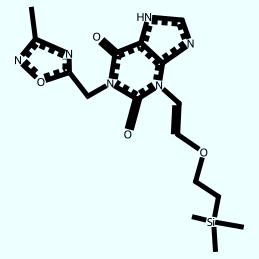 Cc1noc(Cn2c(=O)c3[nH]cnc3n(C=COCC[Si](C)(C)C)c2=O)n1